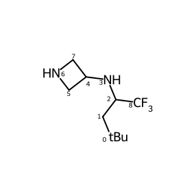 CC(C)(C)CC(NC1CNC1)C(F)(F)F